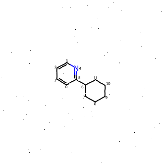 [c]1cccnc1C1CCCCC1